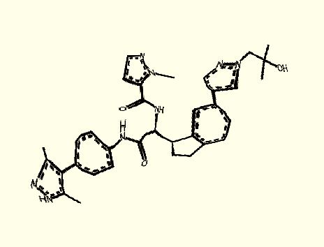 Cc1n[nH]c(C)c1-c1ccc(NC(=O)[C@@H](NC(=O)c2ccnn2C)[C@@H]2CCc3ccc(-c4cnn(CC(C)(C)O)c4)cc32)cc1